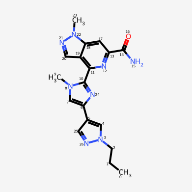 CCCn1cc(-c2cn(C)c(-c3nc(C(N)=O)cc4c3cnn4C)n2)cn1